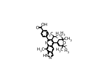 Cc1c2nc(-c3ccc(C(=O)O)cc3)c(C(C)C)c(C3=CC(C)(C)OC(C)(C)C3)c2cc2cn[nH]c12